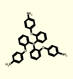 Nc1ccc(Oc2ccccc2N(c2ccccc2Oc2ccc(N)cc2)c2ccccc2Oc2ccc(N)cc2)cc1